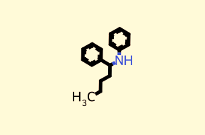 CCCCC(Nc1ccccc1)c1ccccc1